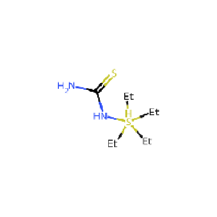 CC[SH](CC)(CC)(CC)NC(N)=S